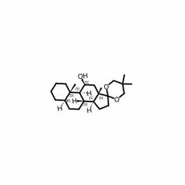 CC1(C)COC2(CC[C@H]3[C@@H]4CC[C@H]5CCCC[C@]5(C)[C@H]4[C@@H](O)C[C@@]32C)OC1